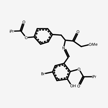 COCC(=O)C(Cc1ccc(OC(=O)C(C)C)cc1)N=Cc1cc(Br)cc(O)c1OC(=O)C(C)C